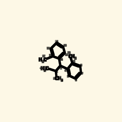 [CH2]C(C)C(c1ccccc1C)c1ccccc1C